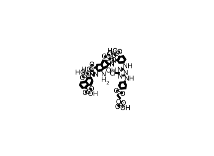 Nc1c(/N=N/c2ccc3c(S(=O)(=O)O)cccc3c2S(=O)(=O)O)c(S(=O)(=O)O)cc2cc(S(=O)(=O)O)c(/N=N/c3cc(Nc4nc(Cl)nc(Nc5ccc(S(=O)(=O)CCOS(=O)(=O)O)cc5)n4)ccc3S(=O)(=O)O)c(O)c12